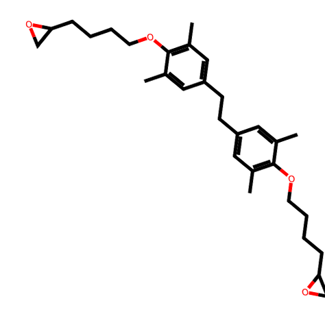 Cc1cc(CCc2cc(C)c(OCCCCC3CO3)c(C)c2)cc(C)c1OCCCCC1CO1